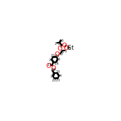 C=C(C)C(=O)OC(COCC)COc1ccc(C(=O)OCc2ccccc2)cc1